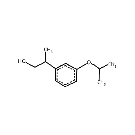 CC(C)Oc1cccc(C(C)CO)c1